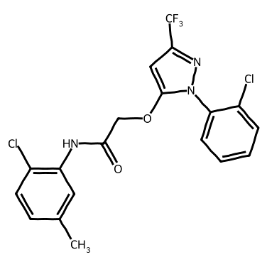 Cc1ccc(Cl)c(NC(=O)COc2cc(C(F)(F)F)nn2-c2ccccc2Cl)c1